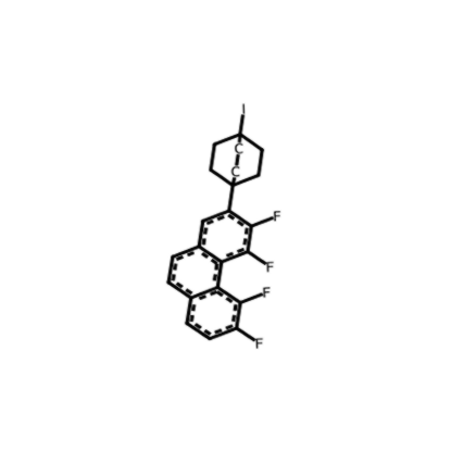 Fc1ccc2ccc3cc(C45CCC(I)(CC4)CC5)c(F)c(F)c3c2c1F